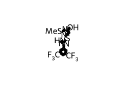 CSc1nc(O)cc(Sc2nc(-c3cc(C(F)(F)F)cc(C(F)(F)F)c3)n[nH]2)n1